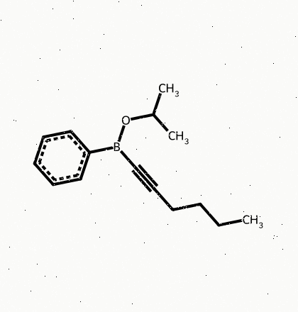 CCCCC#CB(OC(C)C)c1ccccc1